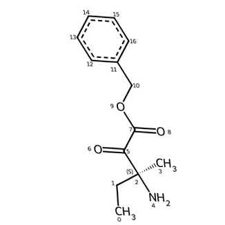 CC[C@](C)(N)C(=O)C(=O)OCc1ccccc1